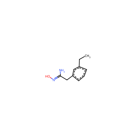 CCc1cccc(C/C(N)=N/O)c1